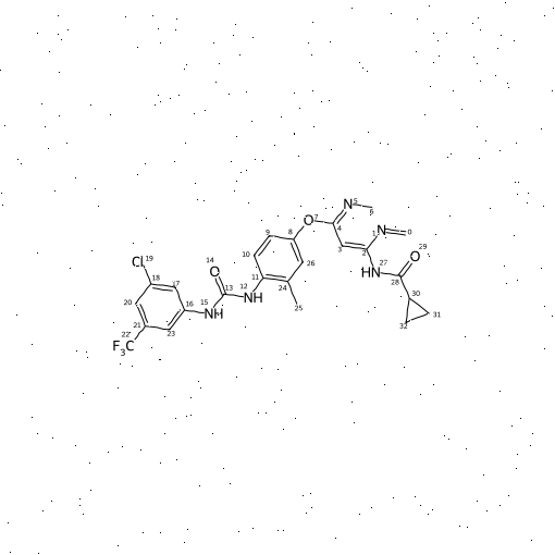 C=N/C(=C\C(=N/C)Oc1ccc(NC(=O)Nc2cc(Cl)cc(C(F)(F)F)c2)c(C)c1)NC(=O)C1CC1